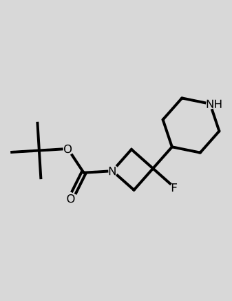 CC(C)(C)OC(=O)N1CC(F)(C2CCNCC2)C1